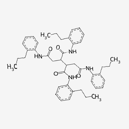 CCCc1ccccc1NC(=O)CC(C(=O)Nc1ccccc1CCC)C(CC(=O)Nc1ccccc1CCC)C(=O)Nc1ccccc1CCC